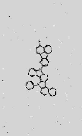 Fc1ccc2c3c(cccc13)-c1ccc(-n3c4ccccc4c4c3ccc3c5c6ccccc6ccc5n(-c5ccccc5)c34)cc1-2